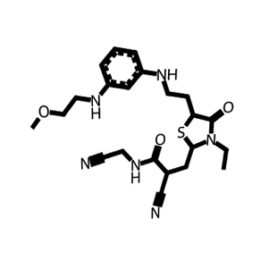 CCN1C(=O)C(CCNc2cccc(NCCOC)c2)SC1CC(C#N)C(=O)NCC#N